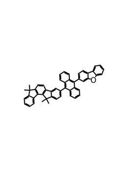 CC1(C)c2ccccc2-c2c1ccc1c2C(C)(C)c2ccc(-c3c4ccccc4c(-c4ccc5c(c4)oc4ccccc45)c4ccccc34)cc2-1